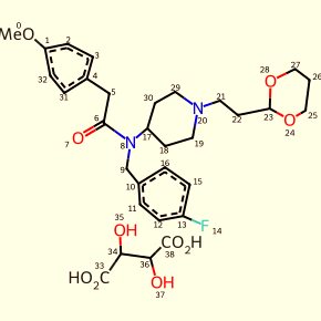 COc1ccc(CC(=O)N(Cc2ccc(F)cc2)C2CCN(CCC3OCCCO3)CC2)cc1.O=C(O)C(O)C(O)C(=O)O